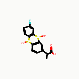 CC(C(=O)O)c1ccc2c(c1)[S+]([O-])c1cc(F)ccc1[S+]2[O-]